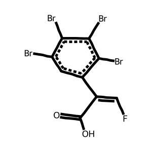 O=C(O)C(=CF)c1cc(Br)c(Br)c(Br)c1Br